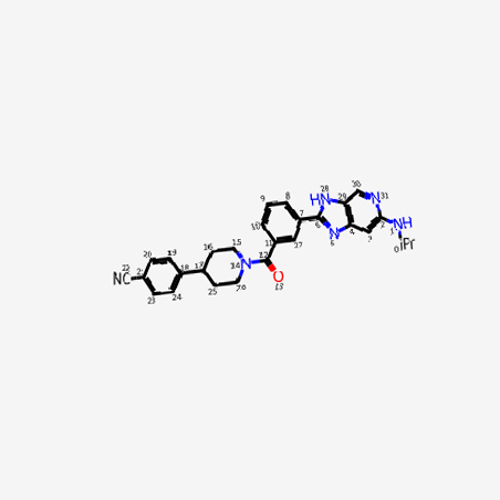 CC(C)Nc1cc2nc(-c3cccc(C(=O)N4CCC(c5ccc(C#N)cc5)CC4)c3)[nH]c2cn1